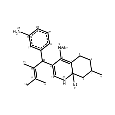 CCC12CC(C)CCC1=C(NC)C(C(C(C)=C(C)C)c1cccc(N)c1)=CN2